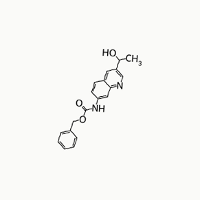 CC(O)c1cnc2cc(NC(=O)OCc3ccccc3)ccc2c1